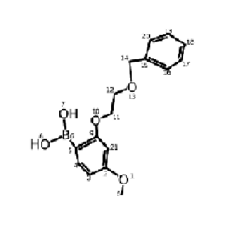 COc1ccc(B(O)O)c(OCCOCc2ccccc2)c1